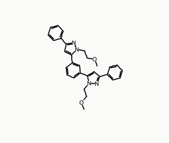 COCCn1nc(-c2ccccc2)cc1-c1cccc(-c2cc(-c3ccccc3)nn2CCOC)c1